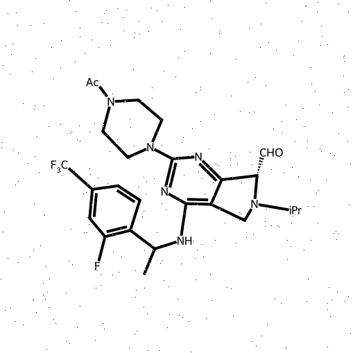 CC(=O)N1CCN(c2nc(NC(C)c3ccc(C(F)(F)F)cc3F)c3c(n2)[C@H](C=O)N(C(C)C)C3)CC1